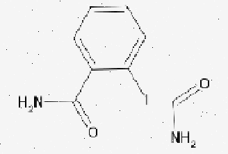 NC(=O)c1ccccc1I.NC=O